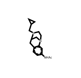 CC(=O)Nc1ccc2c(c1)N1CCN(CC3CC3)C(C2)C1